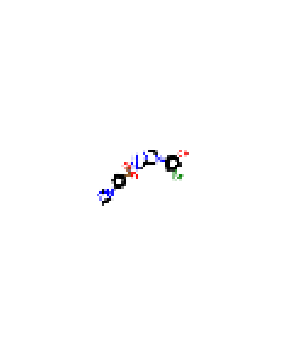 COc1cc(Br)cc(N2CCNC(CNS(=O)(=O)c3ccc(-n4ccnc4)cc3)C2)c1